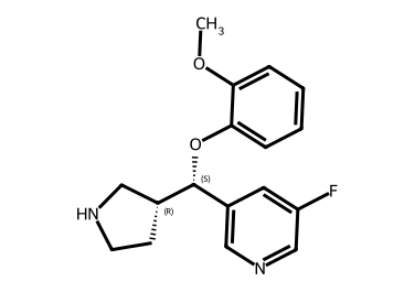 COc1ccccc1O[C@H](c1cncc(F)c1)[C@@H]1CCNC1